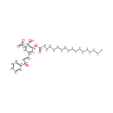 CCCCCCCCCCCCCCCCCC(=O)Oc1cc(/C=C/C(=O)c2ccccc2)cc([N+](=O)[O-])c1O